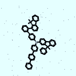 CC1(C)c2ccccc2-c2cccc(-c3ccccc3-c3ccc(N(c4ccc(-c5ccc(-c6ccccc6)cc5)cc4)c4ccc5c(c4)C(C)(c4ccccc4)c4ccccc4-5)cc3)c21